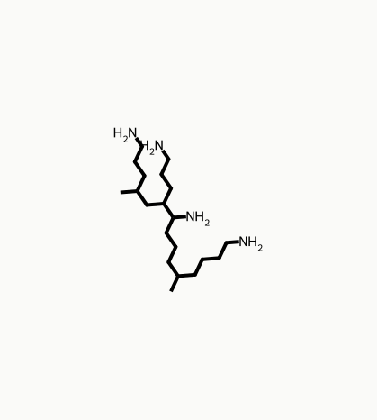 CC(CCCCN)CCCC(N)C(CCCN)CC(C)CCCN